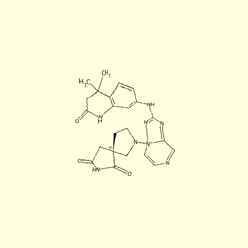 CC1(C)CC(=O)Nc2cc(NC3=N[N+]4(N5CC[C@@]6(CC(=O)NC6=O)C5)C=CN=CC4=N3)ccc21